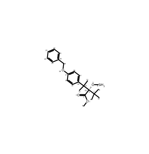 COC(=O)[C@](O[SiH3])(C(C)(C)C)C(C)(C)c1ccc(OCc2ccccc2)cc1